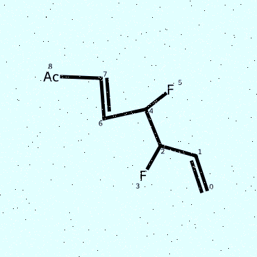 C=CC(F)C(F)C=CC(C)=O